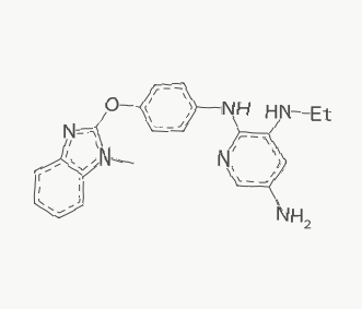 CCNc1cc(N)cnc1Nc1ccc(Oc2nc3ccccc3n2C)cc1